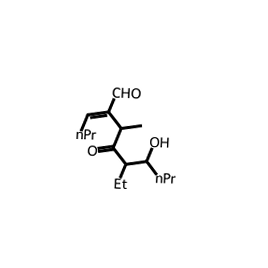 CCCC=C(C=O)C(C)C(=O)C(CC)C(O)CCC